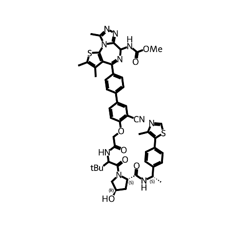 COC(=O)NC1N=C(c2ccc(-c3ccc(OCC(=O)NC(C(=O)N4C[C@H](O)C[C@H]4C(=O)N[C@@H](C)c4ccc(-c5scnc5C)cc4)C(C)(C)C)c(C#N)c3)cc2)c2c(sc(C)c2C)-n2c(C)nnc21